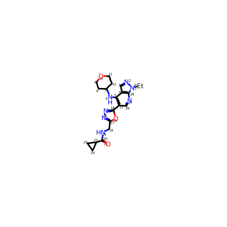 CCn1ncc2c(NC3CCOCC3)c(-c3nnc(CNC(=O)C4CC4)o3)cnc21